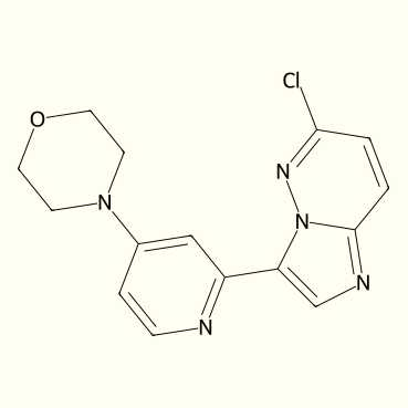 Clc1ccc2ncc(-c3cc(N4CCOCC4)ccn3)n2n1